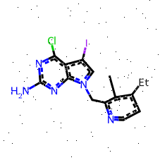 CCc1ccnc(Cn2cc(I)c3c(Cl)nc(N)nc32)c1C